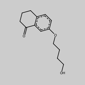 O=C1CCCc2ccc(OCCCCO)cc21